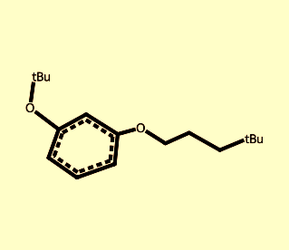 CC(C)(C)CCCOc1cccc(OC(C)(C)C)c1